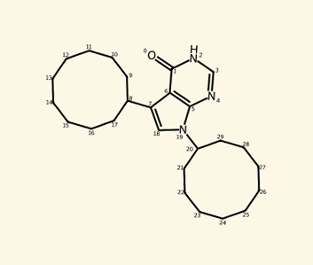 O=c1[nH]cnc2c1c(C1CCCCCCCCC1)cn2C1CCCCCCCCC1